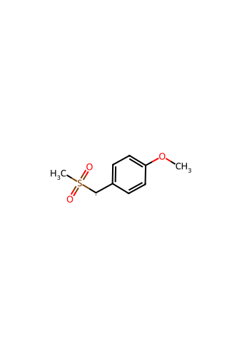 COc1ccc([CH]S(C)(=O)=O)cc1